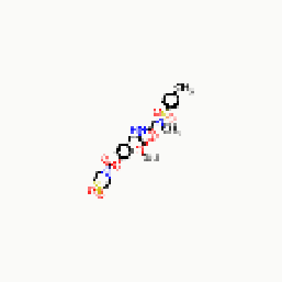 Cc1ccc(S(=O)(=O)N(C)CC(=O)N[C@@H](Cc2ccc(OC(=O)N3CCS(=O)(=O)CC3)cc2)C(=O)OC(C)(C)C)cc1